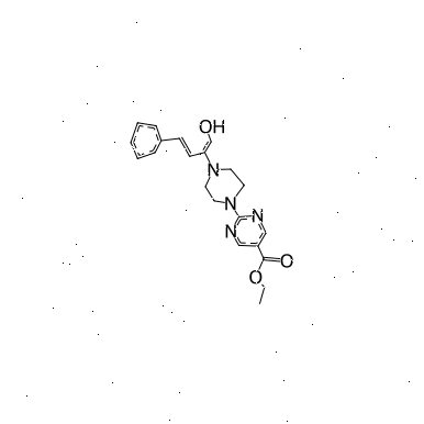 CCOC(=O)c1cnc(N2CCN(C(/C=C/c3ccccc3)=C/O)CC2)nc1